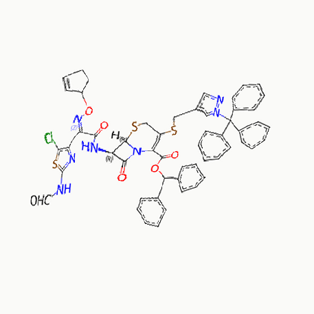 O=CNc1nc(/C(=N/OC2C=CCC2)C(=O)N[C@@H]2C(=O)N3C(C(=O)OC(c4ccccc4)c4ccccc4)=C(SCc4cnn(C(c5ccccc5)(c5ccccc5)c5ccccc5)c4)CS[C@H]23)c(Cl)s1